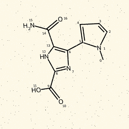 Cn1cccc1-c1nc(C(=O)O)[nH]c1C(N)=O